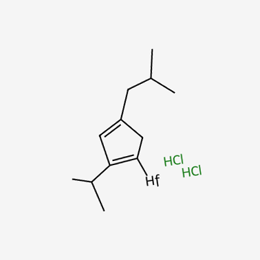 CC(C)CC1=CC(C(C)C)=[C]([Hf])C1.Cl.Cl